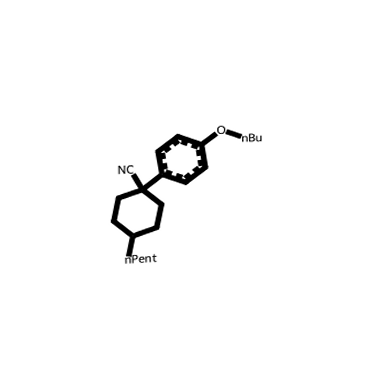 CCCCCC1CCC(C#N)(c2ccc(OCCCC)cc2)CC1